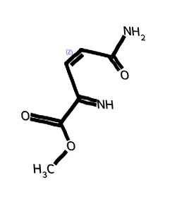 COC(=O)C(=N)/C=C\C(N)=O